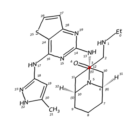 CCNCC(=O)N1[C@@H]2CCC[C@H]1C[C@H](Nc1nc(Nc3cc(C)[nH]n3)c3sccc3n1)C2